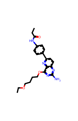 CCOCCCCOc1nc(N)nc2ccc(-c3ccc(NC(=O)CC)cc3)nc12